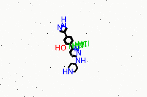 Cl.Cl.Cl.Cl.Oc1cc(-c2cn[nH]c2)ccc1-c1ccc(NC2CCNCC2)nn1